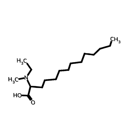 CCCCCCCCCCCCC(C(=O)O)N(C)CC